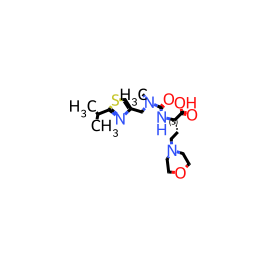 CC(C)c1nc(CN(C)C(=O)N[C@@H](CCN2CCOCC2)C(=O)O)cs1